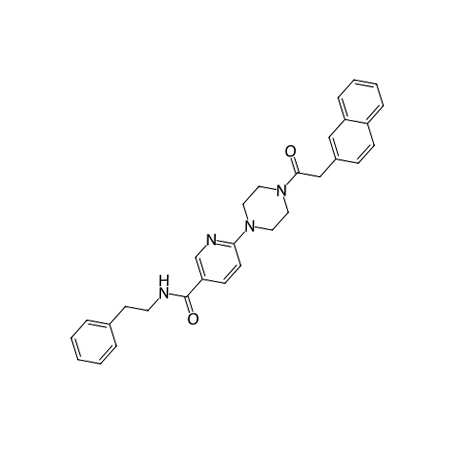 O=C(NCCc1ccccc1)c1ccc(N2CCN(C(=O)Cc3ccc4ccccc4c3)CC2)nc1